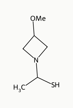 COC1CN(C(C)S)C1